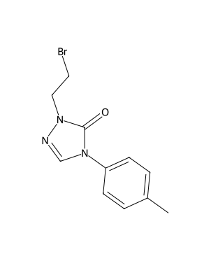 Cc1ccc(-n2cnn(CCBr)c2=O)cc1